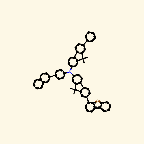 CC1(C)c2cc(-c3ccccc3)ccc2-c2ccc(N(c3ccc(-c4ccc5ccccc5c4)cc3)c3ccc4c(c3)C(C)(C)c3cc(-c5cccc6c5sc5ccccc56)ccc3-4)cc21